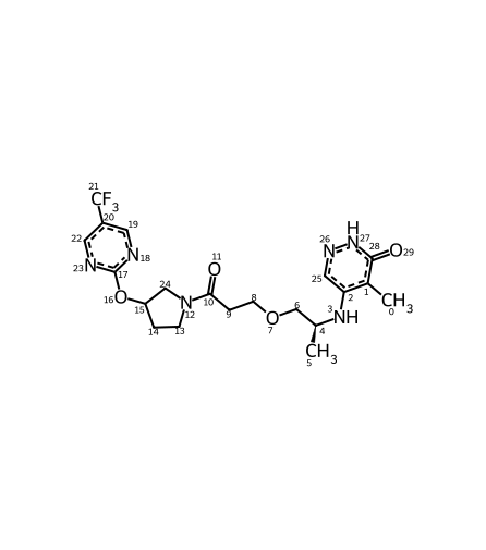 Cc1c(N[C@@H](C)COCCC(=O)N2CCC(Oc3ncc(C(F)(F)F)cn3)C2)cn[nH]c1=O